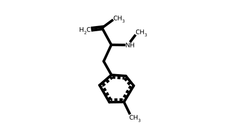 C=C(C)C(Cc1ccc(C)cc1)NC